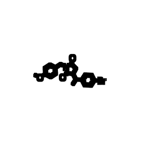 COc1ccc(CN2C(=O)CC(C(C)c3ccc(Br)cc3)C2=O)cc1